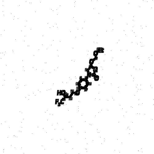 CCOCOC1CN(c2ccc(OCC[C@@H](O)C(F)(F)F)cc2)C(=O)O1